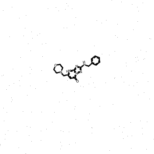 O=c1cc(CN2CCOCC2)[nH]c2nc(NCc3ccccc3)nn12